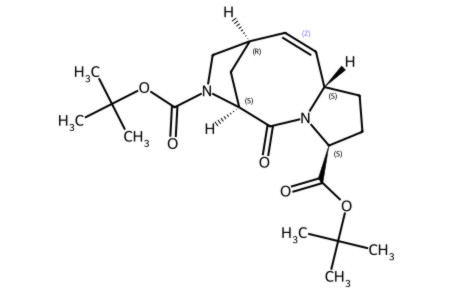 CC(C)(C)OC(=O)[C@@H]1CC[C@H]2/C=C\[C@H]3C[C@@H](C(=O)N21)N(C(=O)OC(C)(C)C)C3